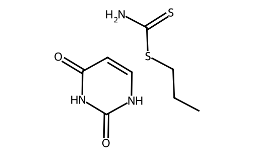 CCCSC(N)=S.O=c1cc[nH]c(=O)[nH]1